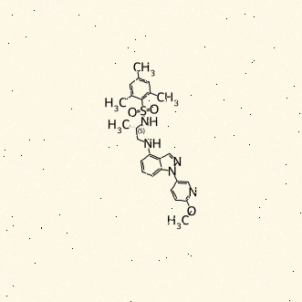 COc1ccc(-n2ncc3c(NC[C@H](C)NS(=O)(=O)c4c(C)cc(C)cc4C)cccc32)cn1